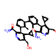 Cc1c(-c2cccc(-c3c(C(N)=O)ncc(CO)c3C3CC3)c2C)cccc1-c1c(C(N)=O)ncc(CO)c1C1CC1